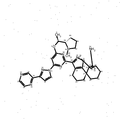 C[C@H](Oc1cc(-n2ccc(-c3cnccn3)n2)nc(-c2noc3c2CCC[C@@]32CCCc3sc(N)c(C#N)c32)n1)[C@@H]1CCCN1C